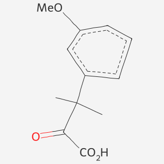 COc1cccc(C(C)(C)C(=O)C(=O)O)c1